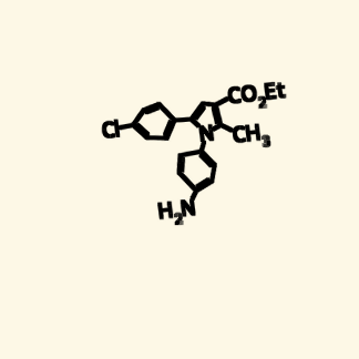 CCOC(=O)c1cc(-c2ccc(Cl)cc2)n(-c2ccc(N)cc2)c1C